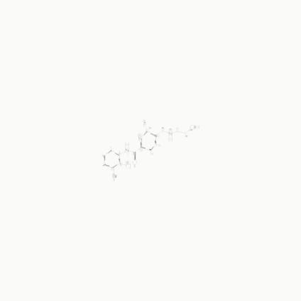 O=C(Nc1cccc(Br)c1Cl)c1ccc(CNCCO)c(F)n1